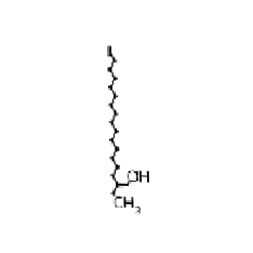 CCC(CO)CCCCCCCCCCCCCCI